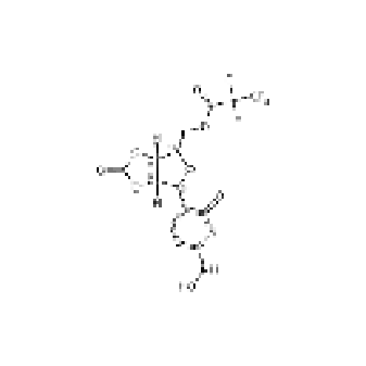 O=C1O[C@@H]2[C@H](O1)[C@@H](COC(=O)C(F)(F)C(F)(F)F)O[C@H]2n1ccc(NO)nc1=O